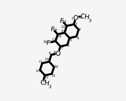 COC1CCC2CC(OCC3CCC(C)CC3)C(F)C(F)C2C1F